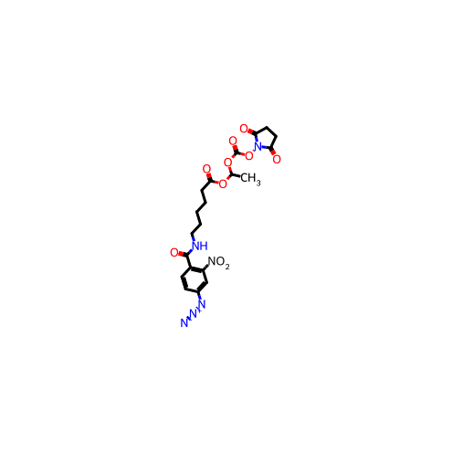 CC(OC(=O)CCCCCNC(=O)c1ccc(N=[N+]=[N-])cc1[N+](=O)[O-])OC(=O)ON1C(=O)CCC1=O